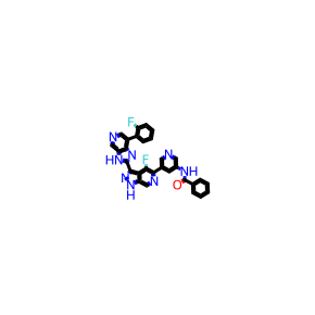 O=C(Nc1cncc(-c2ncc3[nH]nc(-c4nc5c(-c6ccccc6F)cncc5[nH]4)c3c2F)c1)c1ccccc1